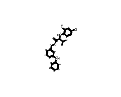 CC(C)C(Nc1ccc(Cl)cc1F)C(=O)OCc1cccc(Nc2ccccc2)c1